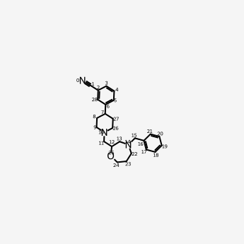 N#Cc1cccc(C2CCN(CC3CN(Cc4ccccc4)CCCO3)CC2)c1